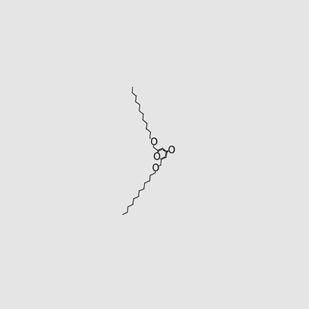 CCCCCCCCCCCCOCc1cc(=O)cc(COCCCCCCCCCCCC)o1